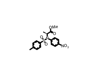 COC(=O)[C@H](C)N(c1ccc([N+](=O)[O-])cc1)S(=O)(=O)c1ccc(C)cc1